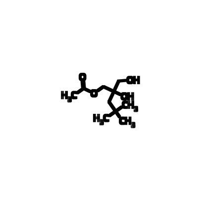 CC(=O)OCC(O)(CO)CC(C)(C)C